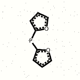 c1coc([P]c2ccco2)c1